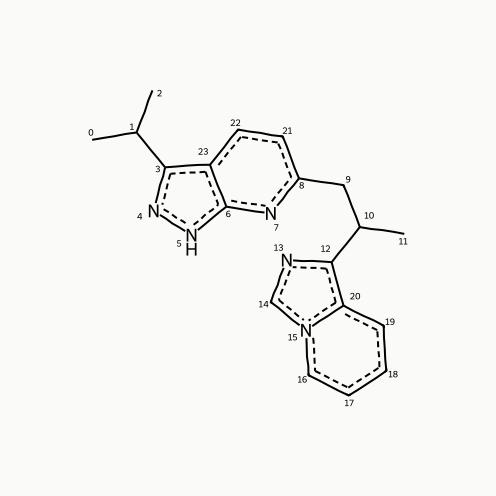 CC(C)c1n[nH]c2nc(CC(C)c3ncn4ccccc34)ccc12